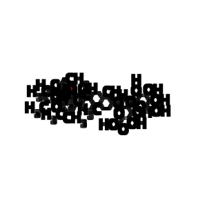 C/C=C(/C)C(=O)O[C@H]1[C@H](OC(=O)/C(C)=C\C)[C@@]2(CO)C(CC1(C)C)C1=CCC3[C@@]4(C)CC[C@H](O[C@@H]5OC(C(=O)O)[C@@H](O)[C@@H](O)C5O[C@@H]5OC(CO)[C@H](O)[C@@H](O)C5O)C(C)(C)C4CC[C@@]3(C)[C@]1(C)[C@@H](O)[C@H]2O